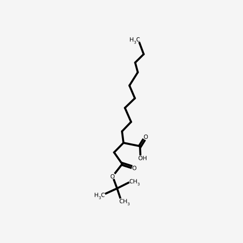 CCCCCCCCCC(CC(=O)OC(C)(C)C)C(=O)O